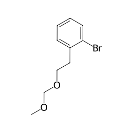 COCOCCc1ccccc1Br